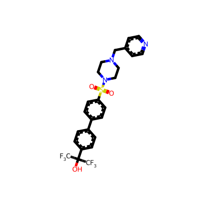 O=S(=O)(c1ccc(-c2ccc(C(O)(C(F)(F)F)C(F)(F)F)cc2)cc1)N1CCN(Cc2ccncc2)CC1